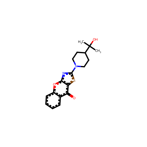 CC(C)(O)C1CCN(c2nc3oc4ccccc4c(=O)c3s2)CC1